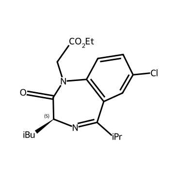 CCOC(=O)CN1C(=O)[C@H](C(C)CC)N=C(C(C)C)c2cc(Cl)ccc21